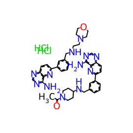 CC(=O)N1CCC(NCc2cccc(-c3ccc4ncnc(N)c4n3)c2)CC1.Cl.Cl.Nc1ncnc2ccc(-c3cccc(CNCCN4CCOCC4)c3)nc12